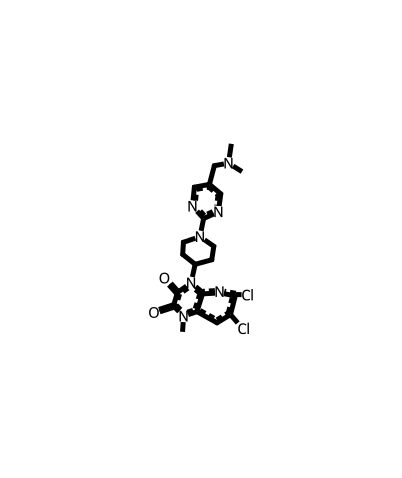 CN(C)Cc1cnc(N2CCC(n3c(=O)c(=O)n(C)c4cc(Cl)c(Cl)nc43)CC2)nc1